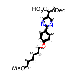 CCCCCCCCCCC(C(=O)O)c1cnc(-c2ccc(OCCCCCCOC)cc2)nc1